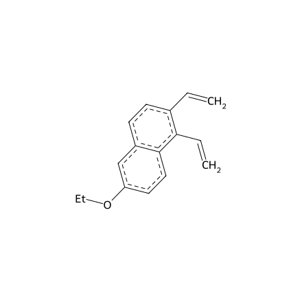 C=Cc1ccc2cc(OCC)ccc2c1C=C